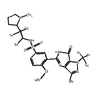 [2H]C(NS(=O)(=O)c1ccc(OCCC)c(-c2nc3c(CCC)nn(C([2H])([2H])[2H])c3c(=O)[nH]2)c1)C([2H])([2H])C1CCCN1C